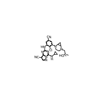 C[C@@H](O)CN1CCN(c2cc(C#N)cc(Nc3nc(NC4CC4)n4ncc(C#N)c4n3)c2Cl)C2CC21